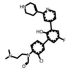 CN(C)CCN(C=O)c1ccc(-c2cc(F)cc(-c3ccnc(C4=CCNCC4)c3)c2O)cc1Cl